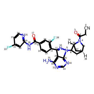 N#CCC(=O)N1C[C@H]2CC(n3nc(-c4ccc(C(=O)Nc5cc(F)ccn5)cc4F)c4c(N)ncnc43)[C@H]1C2